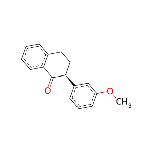 COc1cccc([C@@H]2CCc3ccccc3C2=O)c1